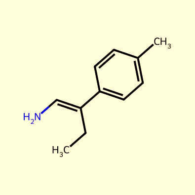 CC/C(=C\N)c1ccc(C)cc1